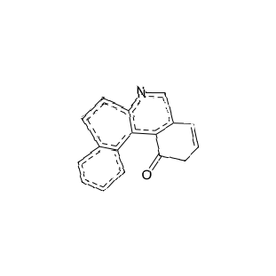 O=C1CC=Cc2cnc3ccc4ccccc4c3c21